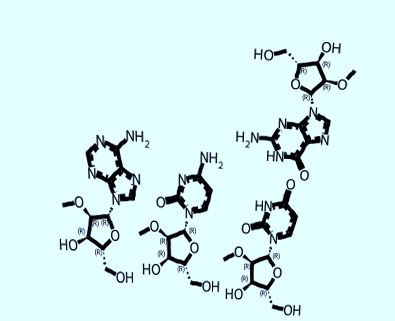 CO[C@@H]1[C@H](O)[C@@H](CO)O[C@H]1n1ccc(=O)[nH]c1=O.CO[C@@H]1[C@H](O)[C@@H](CO)O[C@H]1n1ccc(N)nc1=O.CO[C@@H]1[C@H](O)[C@@H](CO)O[C@H]1n1cnc2c(=O)[nH]c(N)nc21.CO[C@@H]1[C@H](O)[C@@H](CO)O[C@H]1n1cnc2c(N)ncnc21